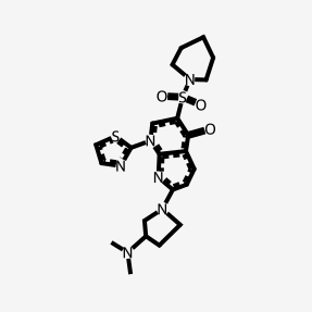 CN(C)C1CCN(c2ccc3c(=O)c(S(=O)(=O)N4CCCCC4)cn(-c4nccs4)c3n2)C1